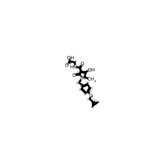 CC1C(O)=C(C(=O)NCC(=O)O)C(=O)N1Cc1ccc(OCC2CC2)cc1